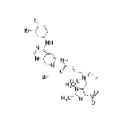 Cc1nc([N+](=O)[O-])c(C[N+](C)(C)C/C=C/C(=O)Nc2cc3c(Nc4ccc(F)c(Br)c4)ncnc3cn2)n1C.[Br-]